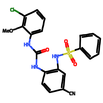 COc1c(Cl)cccc1NC(=O)Nc1ccc(C#N)cc1NS(=O)(=O)c1ccccc1